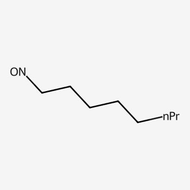 CCCCCCCCN=O